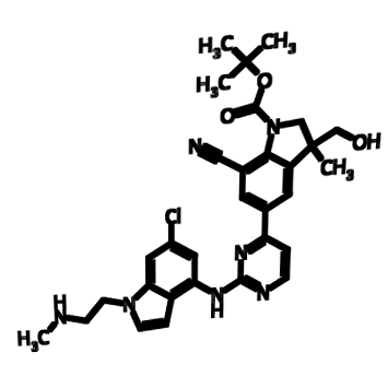 CNCCn1ccc2c(Nc3nccc(-c4cc(C#N)c5c(c4)C(C)(CO)CN5C(=O)OC(C)(C)C)n3)cc(Cl)cc21